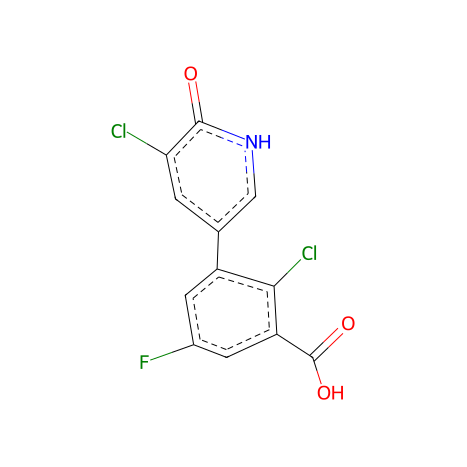 O=C(O)c1cc(F)cc(-c2c[nH]c(=O)c(Cl)c2)c1Cl